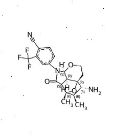 C[C@@H]1[C@@H](N)[C@@]23CCO[C@H]4[C@@H]2[C@H](C(=O)N4c2ccc(C#N)c(C(F)(F)F)c2)[C@]1(C)O3